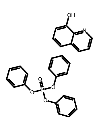 O=P(Oc1ccccc1)(Oc1ccccc1)Oc1ccccc1.Oc1cccc2cccnc12